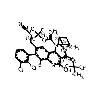 Cc1nc2c(F)c(-c3cccc(Cl)c3Cl)c(CCC#N)cc2c(N(C(=O)OC(C)(C)C)[C@H]2[C@@H]3C[C@H]2N(C(=O)OC(C)(C)C)C3)c1N